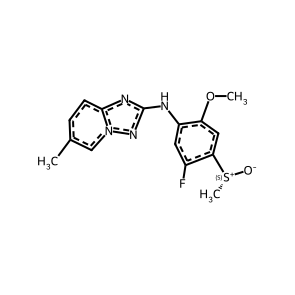 COc1cc([S@@+](C)[O-])c(F)cc1Nc1nc2ccc(C)cn2n1